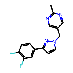 Cc1ncc(Cn2ccc(-c3ccc(F)c(F)c3)n2)cn1